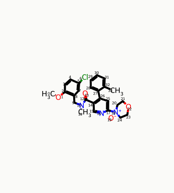 COc1ccc(Cl)cc1CN(C)C(=O)c1cnc([N+]2([O-])CCOCC2)cc1-c1ccccc1C